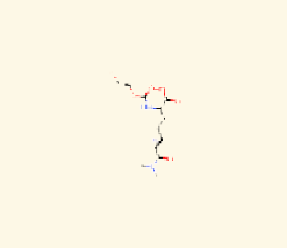 CN(C)C(=O)/C=C/CCC(NC(=O)OCCO)C(=O)O